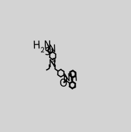 CCCN(CCC1CCC(NC(=O)c2ccccc2-c2ccccc2)CC1)[C@H]1CCc2nc(N)sc2C1